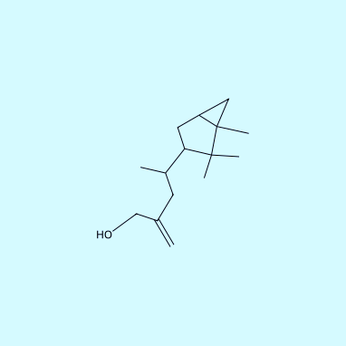 C=C(CO)CC(C)C1CC2CC2(C)C1(C)C